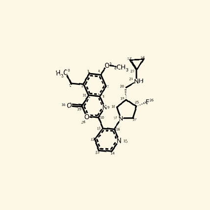 CCc1cc(OC)cc2nc(-c3cccnc3N3C[C@H](CNC4CC4)[C@H](F)C3)oc(=O)c12